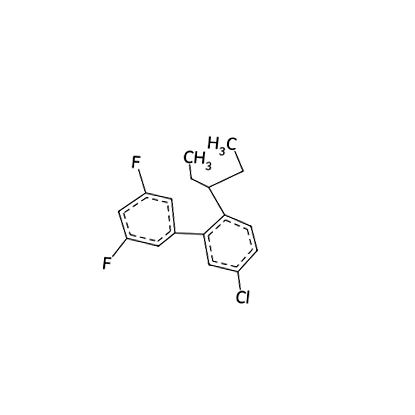 CCC(CC)c1ccc(Cl)cc1-c1cc(F)cc(F)c1